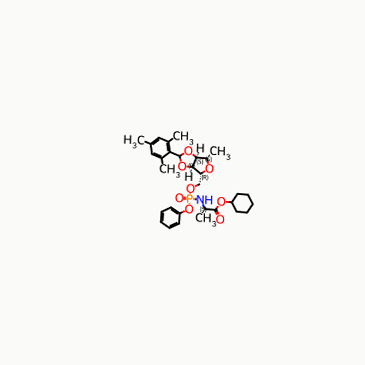 Cc1cc(C)c(C2O[C@@H]3[C@H](O2)[C@@H](COP(=O)(N[C@@H](C)C(=O)OC2CCCCC2)Oc2ccccc2)O[C@H]3C)c(C)c1